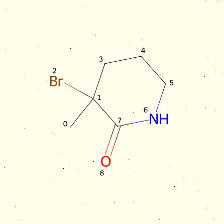 CC1(Br)CCCNC1=O